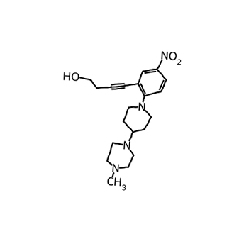 CN1CCN(C2CCN(c3ccc([N+](=O)[O-])cc3C#CCCO)CC2)CC1